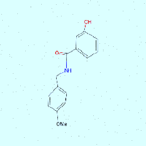 COc1ccc(CNC(=O)c2cccc(O)c2)cc1